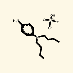 CCCCN(CCCC)c1ccc(N)cc1.[O-][Cl+3]([O-])([O-])O